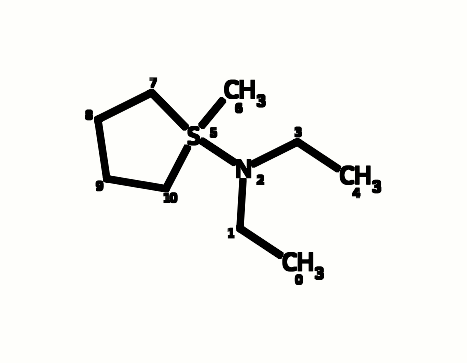 CCN(CC)S1(C)CCCC1